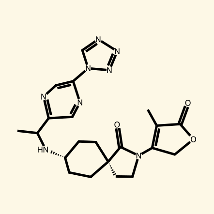 CC1=C(N2CC[C@]3(CC[C@@H](NC(C)c4cnc(-n5cnnn5)cn4)CC3)C2=O)COC1=O